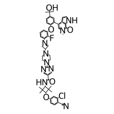 Cn1cc(-c2cc(C(C)(C)O)ccc2Oc2cccc(N3CC(N4CCN(c5ncc(C(=O)NC6C(C)(C)C(Oc7ccc(C#N)c(Cl)c7)C6(C)C)cn5)CC4)C3)c2F)c2cc[nH]c2c1=O